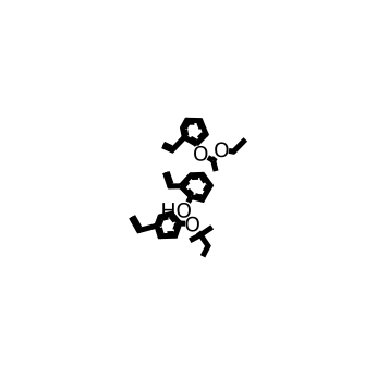 C=Cc1ccc(OC(C)(C)CC)cc1.C=Cc1ccccc1O.C=Cc1ccccc1OC(C)OCC